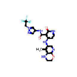 Cc1c(Nc2cc[nH]c(=O)c2C(=O)Nc2cnn(CC(F)(F)F)c2)cnc2c1NCCO2